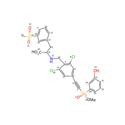 COP(=O)(C#Cc1cc(Cl)c(CNC(Cc2cccc(S(C)(=O)=O)c2)C(=O)O)c(Cl)c1)c1cccc(O)c1